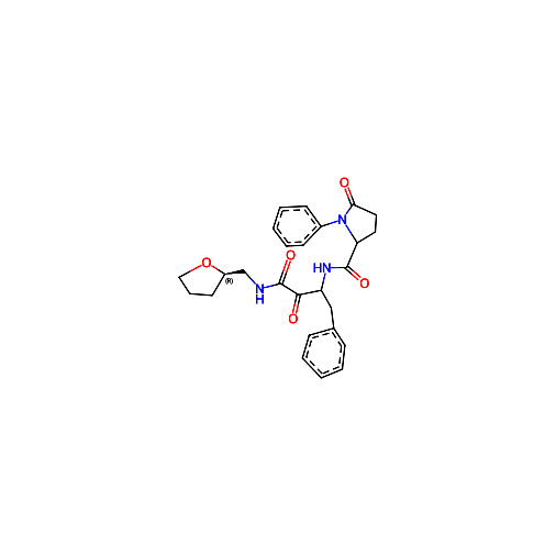 O=C(NC[C@H]1CCCO1)C(=O)C(Cc1ccccc1)NC(=O)C1CCC(=O)N1c1ccccc1